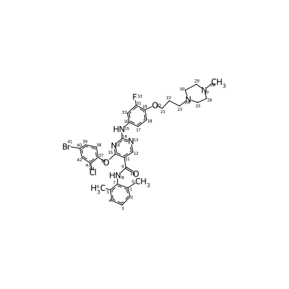 Cc1cccc(C)c1NC(=O)c1cnc(Nc2ccc(OCCCN3CCN(C)CC3)c(F)c2)nc1Oc1ccc(Br)cc1Cl